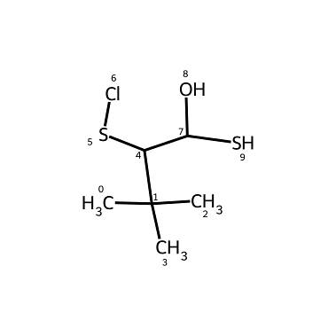 CC(C)(C)C(SCl)C(O)S